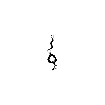 COc1ccc(OCCCCl)cc1